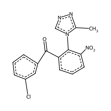 Cc1nncn1-c1c(C(=O)c2cccc(Cl)c2)cccc1[N+](=O)[O-]